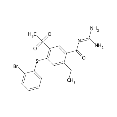 CCc1cc(Sc2ccccc2Br)c(S(C)(=O)=O)cc1C(=O)N=C(N)N